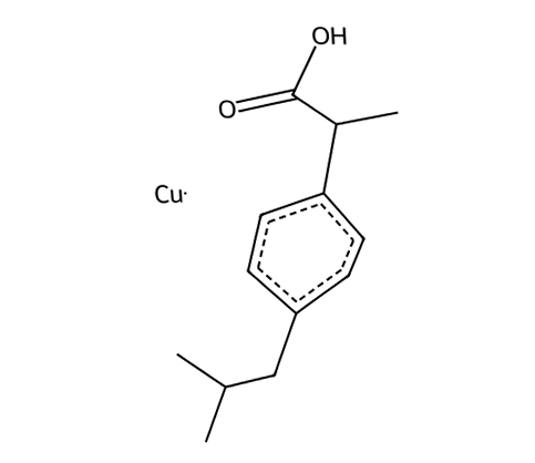 CC(C)Cc1ccc(C(C)C(=O)O)cc1.[Cu]